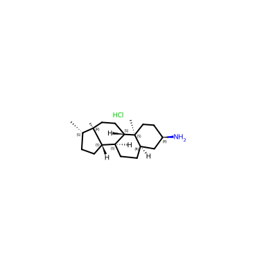 C[C@H]1CC[C@H]2[C@@H]3CC[C@@H]4C[C@H](N)CC[C@]4(C)[C@H]3CC[C@]12C.Cl